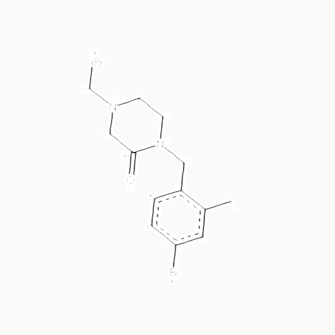 Cc1cc(Br)ccc1CN1CCN(CC(C)C)CC1=O